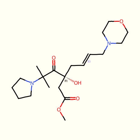 COC(=O)C[C@](O)(C/C=C/CN1CCOCC1)C(=O)C(C)(C)N1CCCC1